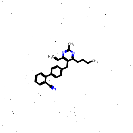 C=Cc1nc(C)nc(CCCC)c1Cc1ccc(-c2ccccc2C#N)cc1